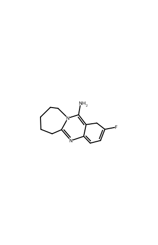 NC1=C2CC(F)=CC=C2N=C2CCCCCN21